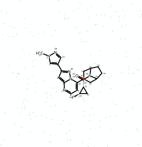 Cn1cc(-c2cc3nccc(N4CC5CCC(C4)N5C(=O)[C@@H]4C[C@H]4F)n3n2)cn1